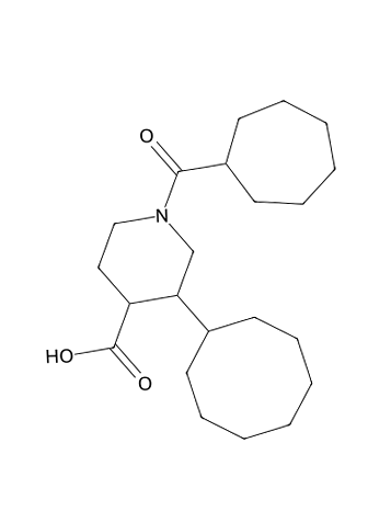 O=C(O)C1CCN(C(=O)C2CCCCCC2)CC1C1CCCCCCC1